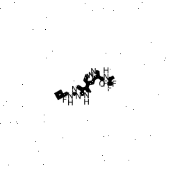 CC(NC(=O)c1cnn2ccc(-c3c[nH]c4nc(NCC5(F)CCC5)ncc34)cc12)C(F)(F)F